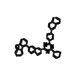 C1=CC(c2nc(-c3ccc(-c4ccc5ccccc5c4)cc3)nc(-c3ccc4ccc(-c5cccc6oc7ccccc7c56)cc4c3)n2)=CCC1